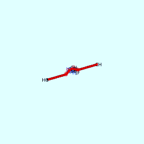 C#CC#CC#CC#CC#CC#CC#CC#CC#COOCCNC(=O)C(C)(C)NN(C)C(C)(C)C(=O)NCCOOC#CC#CC#CC#CC#CC#CC#CC#CC#C